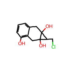 Oc1cccc2c1CC1(O)C(CCl)C1(O)C2